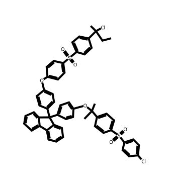 CCC(C)(Cl)c1ccc(S(=O)(=O)c2ccc(Oc3ccc(C4(c5ccc(OC(C)(C)c6ccc(S(=O)(=O)c7ccc(Cl)cc7)cc6)cc5)c5ccccc5-c5ccccc54)cc3)cc2)cc1